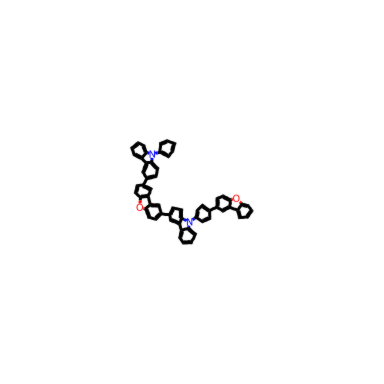 c1ccc(-n2c3ccccc3c3cc(-c4ccc5oc6ccc(-c7ccc8c(c7)c7ccccc7n8-c7ccc(-c8ccc9oc%10ccccc%10c9c8)cc7)cc6c5c4)ccc32)cc1